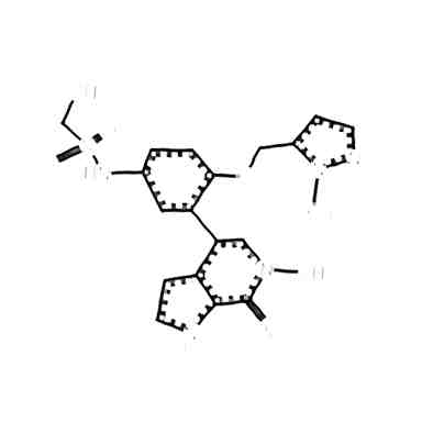 CCS(=O)(=O)Nc1ccc(OCc2ccnn2C)c(-c2cn(C)c(=O)c3[nH]ccc23)c1